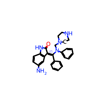 Nc1ccc2c(c1)/C(=C(\c1ccccc1)N(CN1CCNCC1)c1ccccc1)C(=O)N2